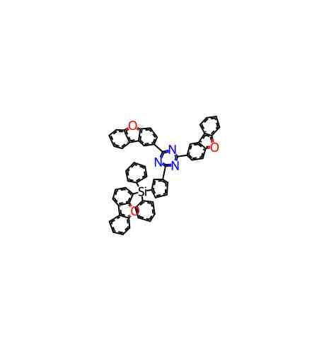 c1ccc([Si](c2ccccc2)(c2cccc(-c3nc(-c4ccc5oc6ccccc6c5c4)nc(-c4ccc5oc6ccccc6c5c4)n3)c2)c2cccc3c2oc2ccccc23)cc1